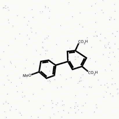 COc1ccc(-c2cc(C(=O)O)cc(C(=O)O)c2)cc1